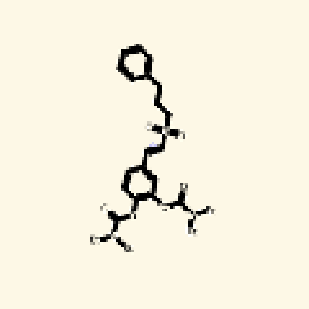 CCN(CC)C(=O)Oc1ccc(/C=C/S(=O)(=O)CCCc2ccccc2)cc1OC(=O)N(CC)CC